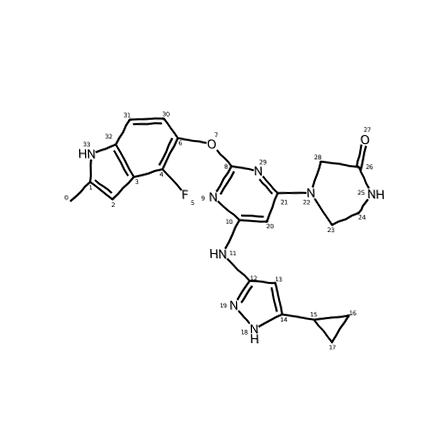 Cc1cc2c(F)c(Oc3nc(Nc4cc(C5CC5)[nH]n4)cc(N4CCNC(=O)C4)n3)ccc2[nH]1